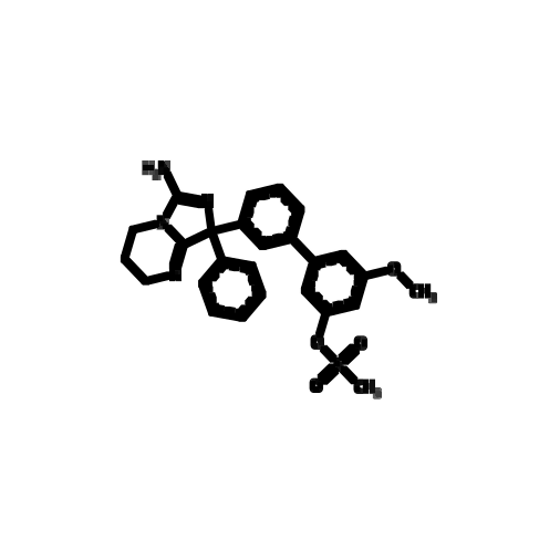 COc1cc(OS(C)(=O)=O)cc(-c2cccc(C3(c4ccccc4)N=C(N)N4CCCN=C43)c2)c1